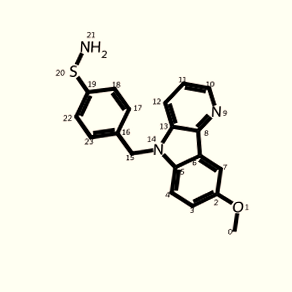 COc1ccc2c(c1)c1ncccc1n2Cc1ccc(SN)cc1